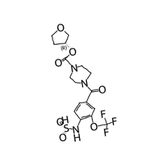 O=C(O[C@@H]1CCOC1)N1CCN(C(=O)c2ccc(N[SH](=O)=O)c(OC(F)(F)F)c2)CC1